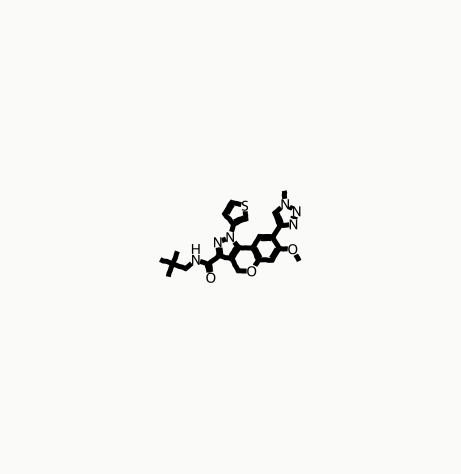 COc1cc2c(cc1-c1cn(C)nn1)-c1c(c(C(=O)NCC(C)(C)C)nn1-c1ccsc1)CO2